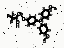 COc1ccc(P(c2ccc(OC)cc2)c2ccc(OC)cc2)cc1.O=C(O)C(F)(F)F